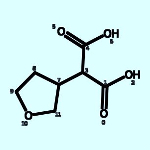 O=C(O)C(C(=O)O)C1CCOC1